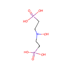 O=P(O)(O)CCN(O)CCP(=O)(O)O